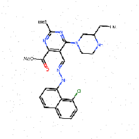 COC(=O)c1nc(SC)nc(N2CCNC(CC#N)C2)c1/C=N/Nc1cccc2cccc(Cl)c12